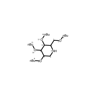 CCCCOCC1NCC(OCCCC)C(OCCCC)C1OCCCC